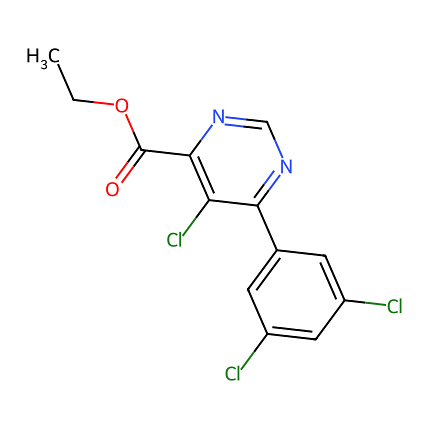 CCOC(=O)c1ncnc(-c2cc(Cl)cc(Cl)c2)c1Cl